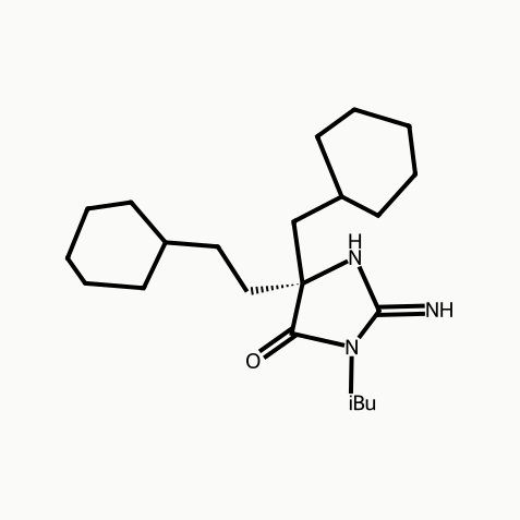 CCC(C)N1C(=N)N[C@](CCC2CCCCC2)(CC2CCCCC2)C1=O